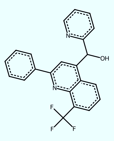 OC(c1ccccn1)c1cc(-c2ccccc2)nc2c(C(F)(F)F)cccc12